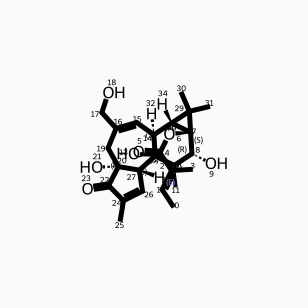 C/C=C(\C)C(=O)O[C@@]12[C@H](O)[C@@H](C)[C@@]3(O)[C@@H](C=C(CO)C[C@]4(O)C(=O)C(C)=C[C@@H]34)[C@@H]1C2(C)C